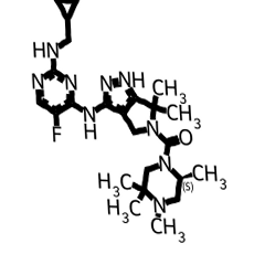 C[C@H]1CN(C)C(C)(C)CN1C(=O)N1Cc2c(Nc3nc(NCC4CC4)ncc3F)n[nH]c2C1(C)C